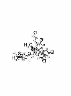 C=C(C)[C@H]1N(CCCCl)C(=O)C[C@@H](c2cccc(Cl)c2)[C@]12C(=O)N(COCC[Si](C)(C)C)c1cc(Cl)ccc12